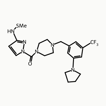 CSNc1ccn(C(=O)N2CCN(Cc3cc(N4CCCC4)cc(C(F)(F)F)c3)CC2)n1